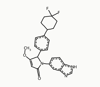 COC1=CC(=O)N(c2ccc3[nH]cnc3c2)C1c1ccc(C2CCC(F)(F)CC2)cc1